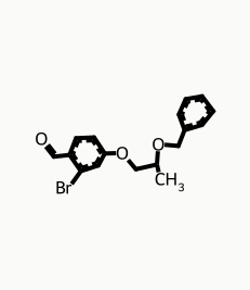 CC(COc1ccc(C=O)c(Br)c1)OCc1ccccc1